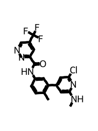 CNc1cc(-c2cc(NC(=O)c3cc(C(F)(F)F)cnn3)ccc2C)cc(Cl)n1